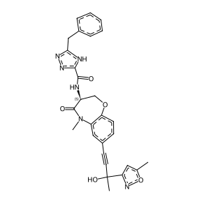 Cc1cc(C(C)(O)C#Cc2ccc3c(c2)N(C)C(=O)[C@@H](NC(=O)c2nnc(Cc4ccccc4)[nH]2)CO3)no1